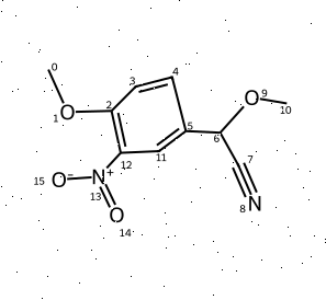 COc1ccc(C(C#N)OC)cc1[N+](=O)[O-]